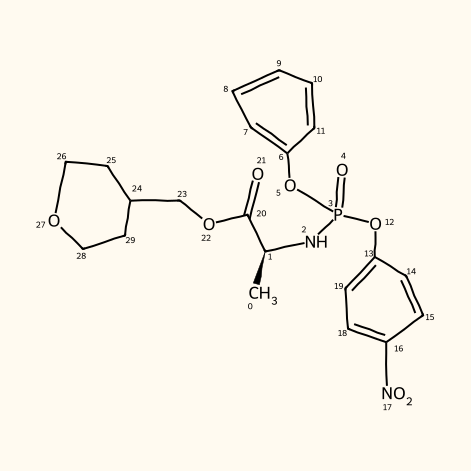 C[C@H](NP(=O)(Oc1ccccc1)Oc1ccc([N+](=O)[O-])cc1)C(=O)OCC1CCOCC1